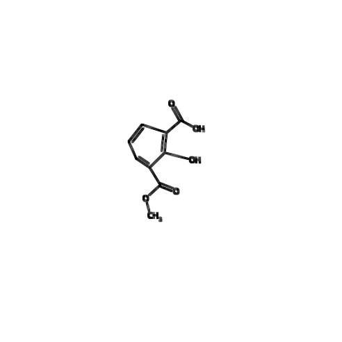 COC(=O)c1cccc(C(=O)O)c1O